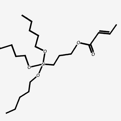 CC=CC(=O)OCCC[Si](OCCCCC)(OCCCCC)OCCCCC